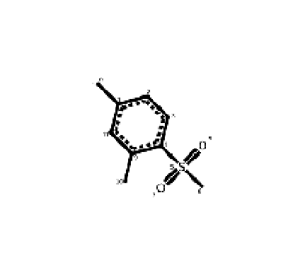 [CH2]c1ccc(S(C)(=O)=O)c(C)c1